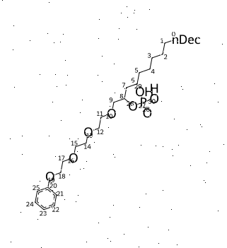 CCCCCCCCCCCCCCCCCC(COCCOCCOCCOc1ccccc1)OP(=O)(O)O